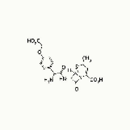 CC1C=C(C(=O)O)N2C(=O)C(NC(=O)C(N)c3ccc(OCC(=O)O)cc3)[C@H]2S1